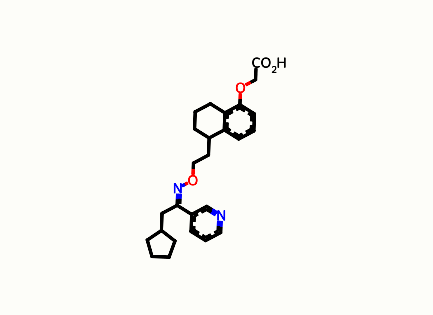 O=C(O)COc1cccc2c1CCCC2CCON=C(CC1CCCC1)c1cccnc1